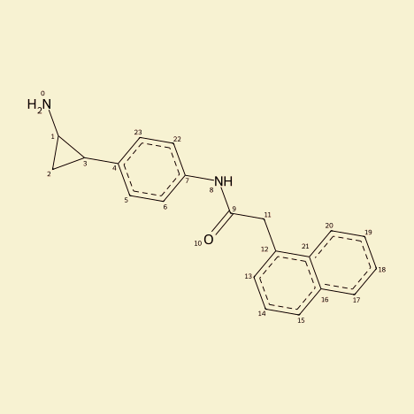 NC1CC1c1ccc(NC(=O)Cc2cccc3ccccc23)cc1